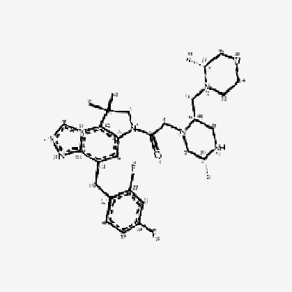 C[C@@H]1CN(CC(=O)N2CC(C)(C)c3c2cc(Cc2ccc(F)cc2F)c2nncn32)[C@@H](CN2CCOC[C@H]2C)CN1